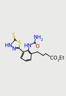 CCOC(=O)CCCc1cccc(-c2n[nH]c(=S)s2)c1NC(N)=O